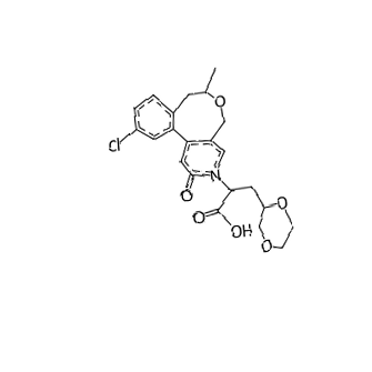 CC1Cc2ccc(Cl)cc2-c2cc(=O)n(C(CC3COCCO3)C(=O)O)cc2CO1